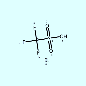 O=S(=O)(O)C(F)(F)F.[Bi]